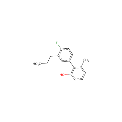 Cc1cccc(O)c1-c1ccc(F)c(CCC(=O)O)c1